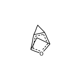 C1c2oc1c1c2C1